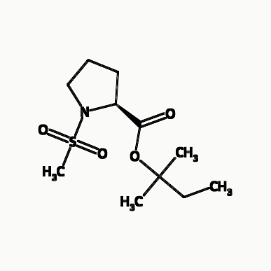 CCC(C)(C)OC(=O)[C@@H]1CCCN1S(C)(=O)=O